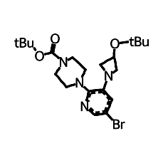 CC(C)(C)OC(=O)N1CCN(c2ncc(Br)cc2N2CC(OC(C)(C)C)C2)CC1